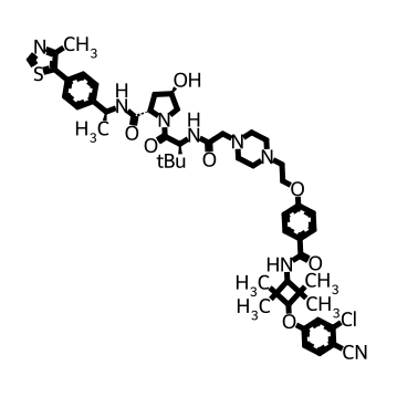 Cc1ncsc1-c1ccc([C@H](C)NC(=O)[C@@H]2C[C@@H](O)CN2C(=O)[C@@H](NC(=O)CN2CCN(CCOc3ccc(C(=O)NC4C(C)(C)C(Oc5ccc(C#N)c(Cl)c5)C4(C)C)cc3)CC2)C(C)(C)C)cc1